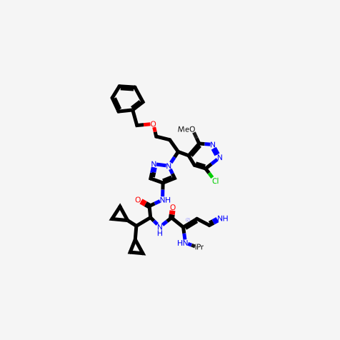 COc1nnc(Cl)cc1C(CCOCc1ccccc1)n1cc(NC(=O)C(NC(=O)/C(=C/C=N)NC(C)C)C(C2CC2)C2CC2)cn1